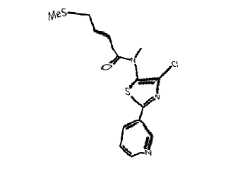 CSCCCC(=O)N(C)c1sc(-c2cccnc2)nc1Cl